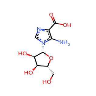 Nc1c(C(=O)O)ncn1[C@@H]1O[C@H](CO)[C@@H](O)[C@H]1O